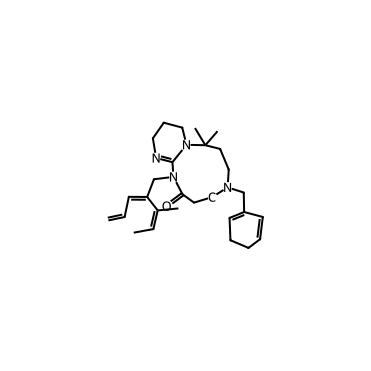 C=C/C=C(CN1C(=O)CCN(CC2=CCCC=C2)CCC(C)(C)N2CCCN=C12)\C(C)=C/C